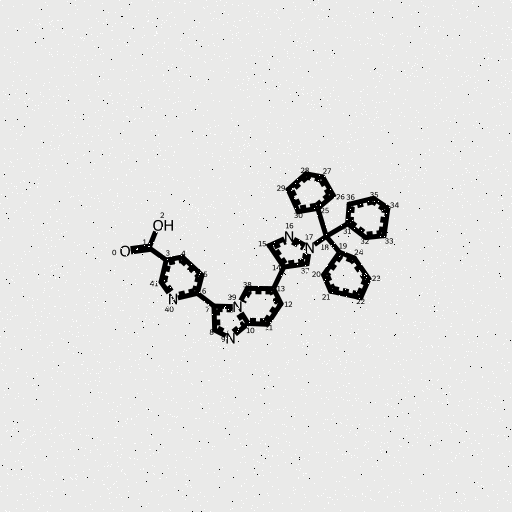 O=C(O)c1ccc(-c2cnc3ccc(-c4cnn(C(c5ccccc5)(c5ccccc5)c5ccccc5)c4)cn23)nc1